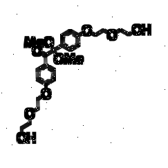 COC(OC)(C(=O)c1ccc(OCCOCCO)cc1)c1ccc(OCCOCCO)cc1